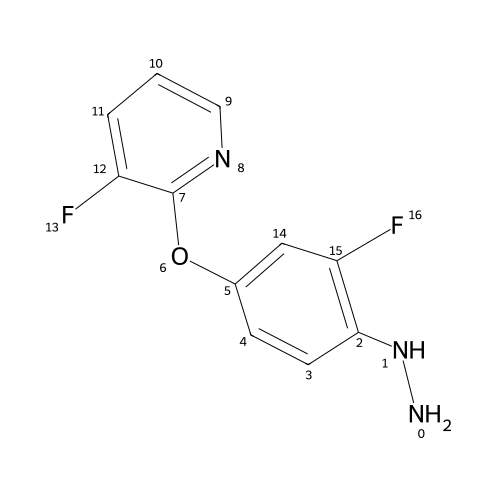 NNc1ccc(Oc2ncccc2F)cc1F